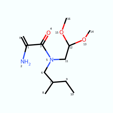 C=C(N)C(=O)N(CC(C)CC)CC(OC)OC